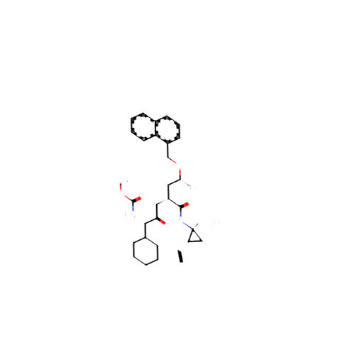 C=C[C@H]1C[C@]1(NC(=O)[C@@H](CC(=O)[C@@H](NC(=O)OC(C)(C)C)C1CCCCC1)C[C@H](CC)OCc1cccc2ccccc12)C(=O)O